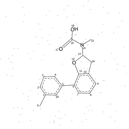 Cc1cccc(-c2cccc3c2OC(N(C)C(=O)O)C3)c1